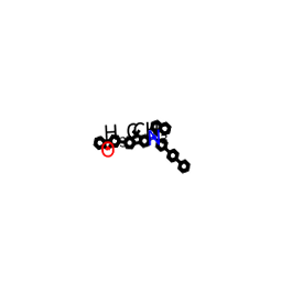 CC1(C)c2cc(-c3ccc4c(c3)oc3ccccc34)ccc2-c2ccc(N(c3ccc(-c4ccc(-c5ccccc5)cc4)cc3)c3cccc4ccccc34)cc21